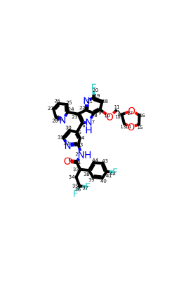 O=C(Nc1cc(-c2[nH]c3c(OC[C@H]4COCCO4)cc(F)nc3c2-c2ccccn2)ccn1)C(CC(F)F)c1ccc(F)cc1